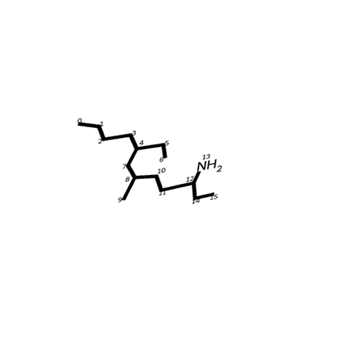 CCCCC(CC)CC(C)CCC(N)CC